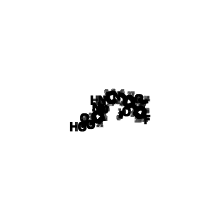 CCOc1cc(CN2CCC(Nc3nc4cc(OC(=O)O)ccc4o3)CC2)cc(OCC)c1-c1ccc(F)cc1